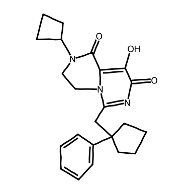 O=C1c2c(O)c(=O)nc(CC3(c4ccccc4)CCCC3)n2CCN1C1CCC1